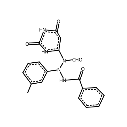 Cc1cccc(N(NC(=O)c2ccccc2)N(C=O)c2cc(=O)[nH]c(=O)[nH]2)c1